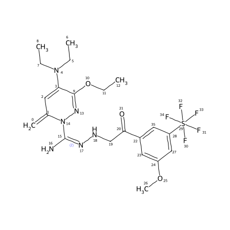 C=C1C=C(N(CC)CC)C(OCC)=NN1/C(N)=N\NCC(=O)c1cc(OC)cc(S(F)(F)(F)(F)F)c1